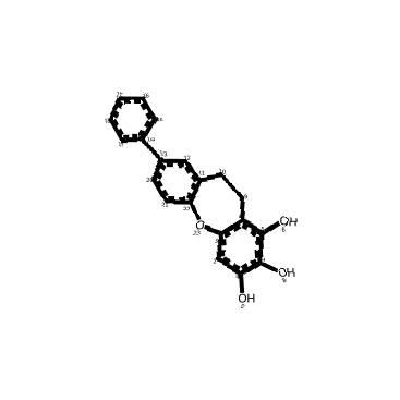 Oc1cc2c(c(O)c1O)CCc1cc(-c3ccccc3)ccc1O2